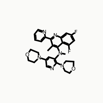 Cc1c(-c2ccccn2)nc2cc(F)cc(F)c2c1N(C)c1cc(N2CCOCC2)cnc1N1CCOCC1